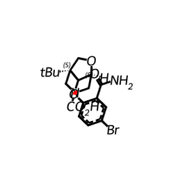 CC(C)(C)[C@@]12CO[C@@H](CN(C(=O)O)C1)C2Oc1ccc(Br)cc1C(N)=O